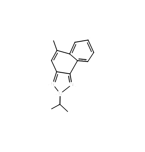 Cc1cc2nn(C(C)C)nc2c2ccccc12